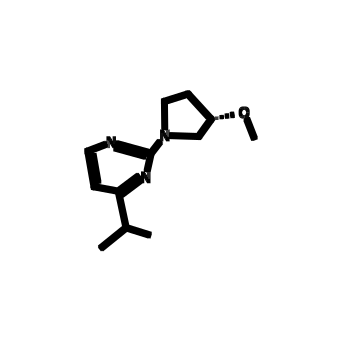 CO[C@H]1CCN(c2nccc(C(C)C)n2)C1